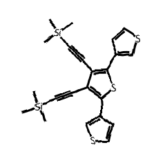 C[Si](C)(C)C#Cc1c(-c2ccsc2)sc(-c2ccsc2)c1C#C[Si](C)(C)C